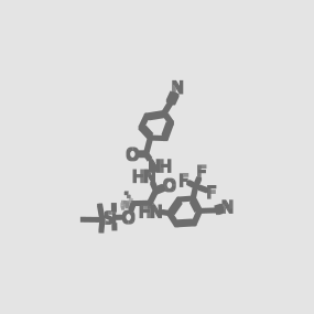 C[C@@H](O[Si](C)(C)C(C)(C)C)[C@@H](Nc1ccc(C#N)c(C(F)(F)F)c1)C(=O)NNC(=O)c1ccc(C#N)cc1